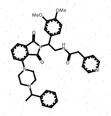 COc1ccc(C(CNC(=O)Cc2ccncc2)N2C(=O)c3cccc(N4CCN(C(C)c5ccccc5)CC4)c3C2=O)cc1OC